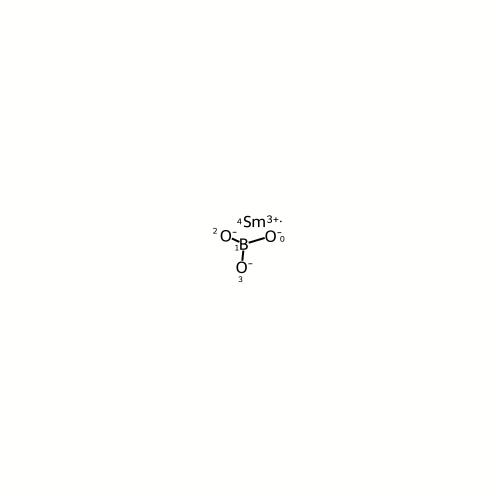 [O-]B([O-])[O-].[Sm+3]